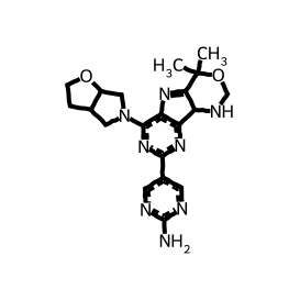 CC1(C)OCNC2C1=Nc1c2nc(-c2cnc(N)nc2)nc1N1CC2CCOC2C1